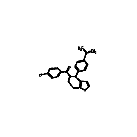 CN(C)c1ccc(C2c3ccsc3CCN2C(=O)c2ccc(Cl)cc2)cc1